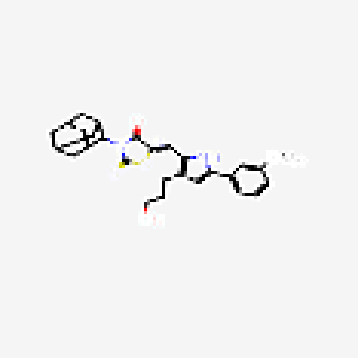 COc1cccc(-c2cc(CCCO)c(/C=C3\SC(=S)N(C4C5CC6CC(C5)CC4C6)C3=O)[nH]2)c1